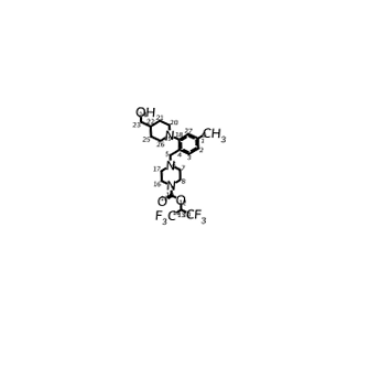 Cc1ccc(CN2CCN(C(=O)OC(C(F)(F)F)C(F)(F)F)CC2)c(N2CCC(CO)CC2)c1